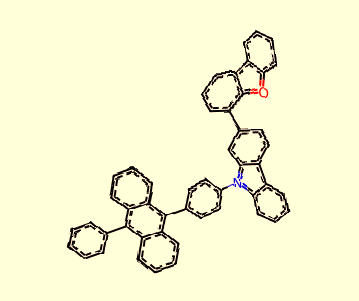 c1ccc(-c2c3ccccc3c(-c3ccc(-n4c5ccccc5c5ccc(-c6cccc7c6oc6ccccc67)cc54)cc3)c3ccccc23)cc1